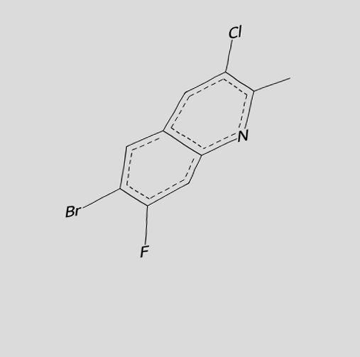 Cc1nc2cc(F)c(Br)cc2cc1Cl